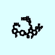 COCCn1cc(C(=O)N2CCC(c3cc(CN)ccc3F)CC2)c2c(F)ccc(OC(F)(F)F)c21.Cl